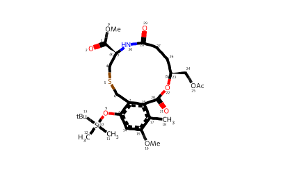 COC(=O)[C@@H]1CSCc2c(O[Si](C)(C)C(C)(C)C)cc(OC)c(C)c2C(=O)O[C@H](COC(C)=O)CCC(=O)N1